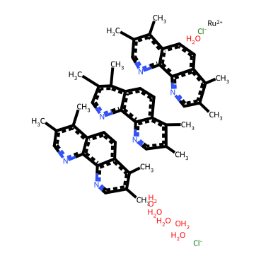 Cc1cnc2c(ccc3c(C)c(C)cnc32)c1C.Cc1cnc2c(ccc3c(C)c(C)cnc32)c1C.Cc1cnc2c(ccc3c(C)c(C)cnc32)c1C.O.O.O.O.O.O.[Cl-].[Cl-].[Ru+2]